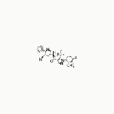 Cc1c(-n2ncc(C(=O)Nc3cnc(-n4nccn4)c(C#N)c3)c2C(F)(F)F)ccc(F)c1F